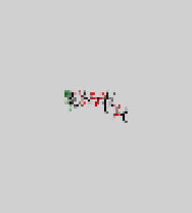 C=CCC(CC)(CCOC(=O)C(=C)C)OC(=O)OCC1(C)OCC(F)(F)C(F)(F)CO1